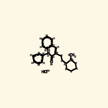 CN1CCCCC1CCC(=Cc1ccccc1)C(=O)Nc1ccccc1.Cl